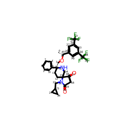 C[C@@H](OC[C@@]1(c2ccccc2)CCC2(CN1)C(=O)CC(=O)N2CC1CC1)c1cc(C(F)(F)F)cc(C(F)(F)F)c1